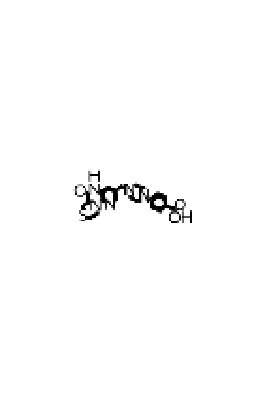 O=C(O)c1ccc(N2CCN(Cc3cnc4c(c3)NC(=O)C3CSCCN43)CC2)cc1